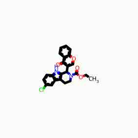 CCOC(=O)N1CCc2c([nH]c3ccc(Cl)cc23)C1c1coc2ccccc2c1=O